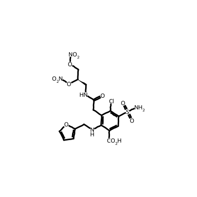 NS(=O)(=O)c1cc(C(=O)O)c(NCc2ccco2)c(CC(=O)NC[C@H](CO[N+](=O)[O-])O[N+](=O)[O-])c1Cl